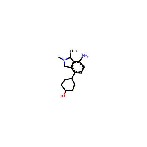 CN1Cc2c(C3CCC(O)CC3)ccc(N)c2C1C=O